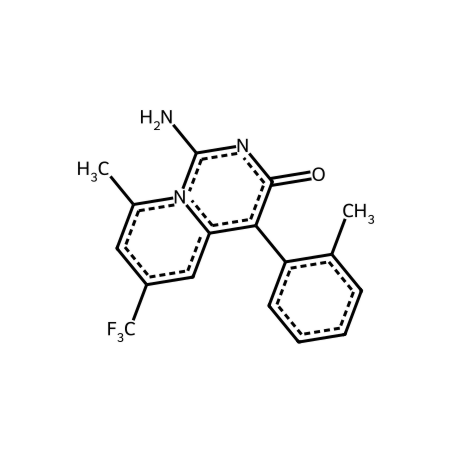 Cc1ccccc1-c1c(=O)nc(N)n2c(C)cc(C(F)(F)F)cc12